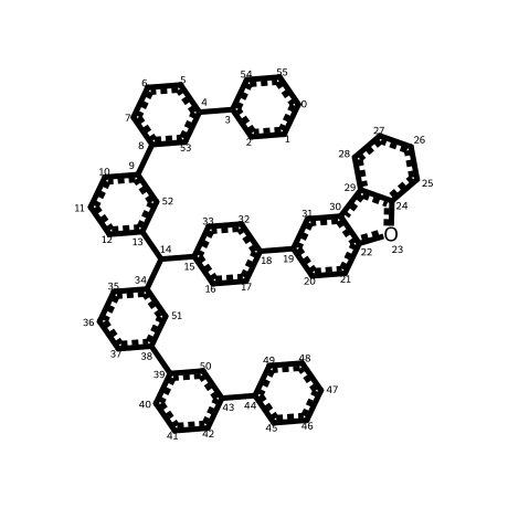 c1ccc(-c2cccc(-c3cccc(C(c4ccc(-c5ccc6oc7ccccc7c6c5)cc4)c4cccc(-c5cccc(-c6ccccc6)c5)c4)c3)c2)cc1